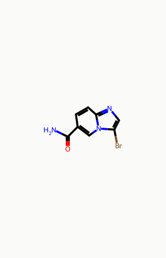 NC(=O)c1ccc2ncc(Br)n2c1